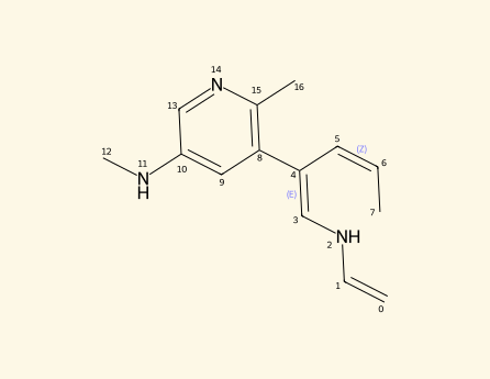 C=CN/C=C(\C=C/C)c1cc(NC)cnc1C